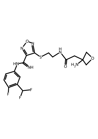 N=C(Nc1ccc(F)c(C(F)F)c1)c1nonc1SCCNC(=O)CC1(N)COC1